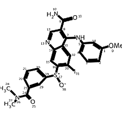 COc1cccc(Nc2c(C(N)=O)cnc3cc([S+]([O-])c4cccc(C(=O)N(C)C)c4)c(I)cc23)c1